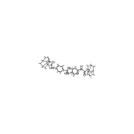 O=C(Nc1ccc(-c2nc3cc(NC(=O)C45CC6CC(CC(C6)C4)C5)ncc3[nH]2)cc1)C12CC3CC(CC(C3)C1)C2